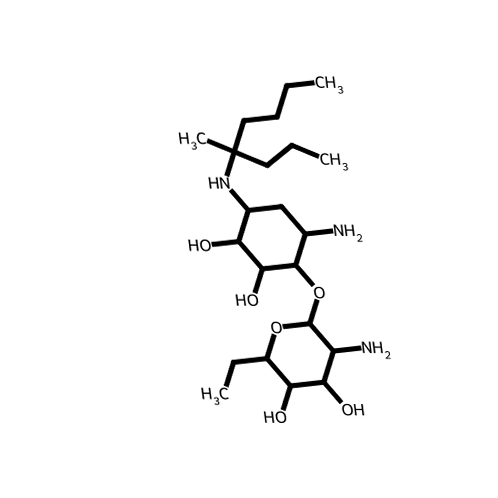 CCCCC(C)(CCC)NC1CC(N)C(OC2OC(CC)C(O)C(O)C2N)C(O)C1O